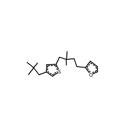 CC(C)(C)Cc1csc(CC(C)(C)CCc2ccco2)c1